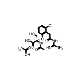 CC(=O)N[C@@H](CO)C(=O)O.N=C(N)NC(=O)Cc1c(Cl)cccc1Cl.NC(=O)O